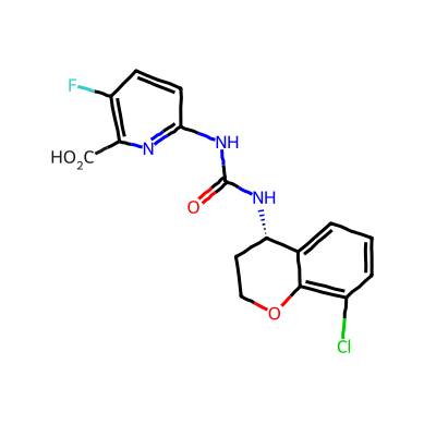 O=C(Nc1ccc(F)c(C(=O)O)n1)N[C@H]1CCOc2c(Cl)cccc21